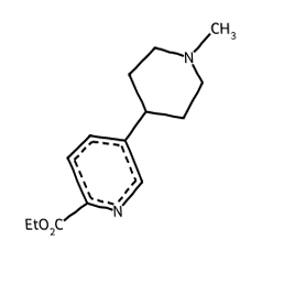 CCOC(=O)c1ccc(C2CCN(C)CC2)cn1